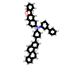 c1ccc(-c2cccc(N(c3ccc(-c4ccc5c(ccc6c7ccccc7ccc56)c4)cc3)c3ccc4cc5oc6ccccc6c5cc4c3)c2)cc1